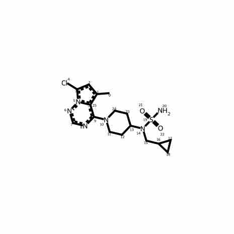 Cc1cc(Cl)n2ncnc(N3CCC(N(CC4CC4)S(N)(=O)=O)CC3)c12